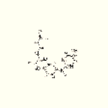 CC(Oc1ccc(N(C)c2ncc(Br)cn2)cc1)C(=O)OCCN(C)C